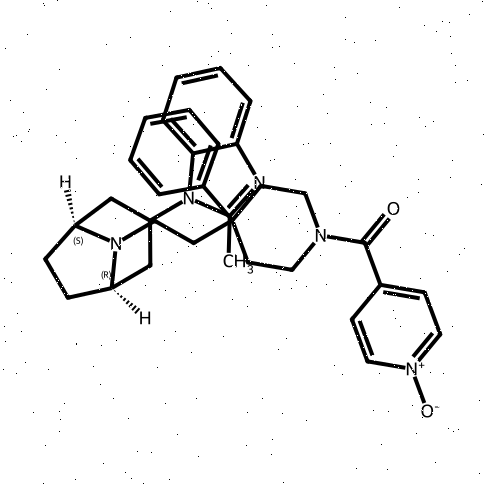 Cc1nc2ccccc2n1C1C[C@H]2CC[C@@H](C1)N2CCC1(c2ccccc2)CCN(C(=O)c2cc[n+]([O-])cc2)CC1